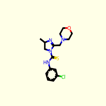 CC1CN(C(=S)Nc2cccc(Cl)c2)C(CN2CCOCC2)=N1